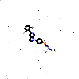 CCc1cccc(CC)c1-c1cc2ccn(-c3ccc(OCCN(C)C)cc3)c2cn1